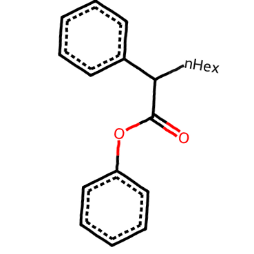 CCCCCCC(C(=O)Oc1ccccc1)c1ccccc1